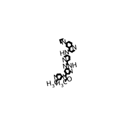 CC(=O)N(c1ccnc(C)c1)c1cnc2[nH]c(-c3ccc(Nc4ccnc5ccc(N6CCC6)cc45)cn3)nc2c1